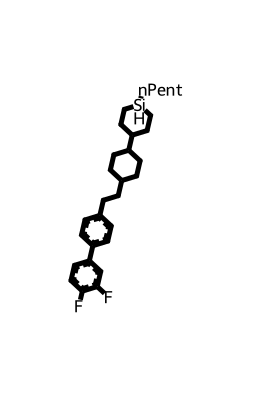 CCCCC[SiH]1CCC(C2CCC(CCc3ccc(-c4ccc(F)c(F)c4)cc3)CC2)CC1